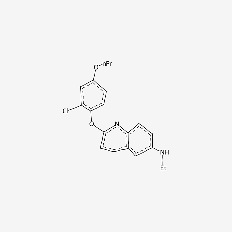 CCCOc1ccc(Oc2ccc3cc(NCC)ccc3n2)c(Cl)c1